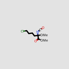 COC(=O)C(CCCCCl)(N=C=O)OC